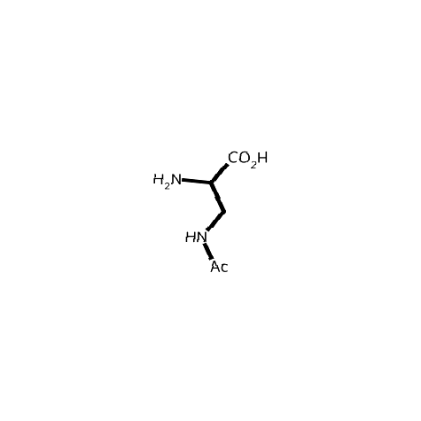 CC(=O)NCC(N)C(=O)O